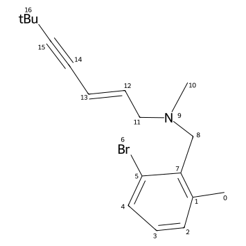 Cc1cccc(Br)c1CN(C)C/C=C/C#CC(C)(C)C